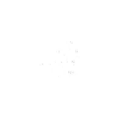 N#Cc1ncnc(-c2cc(C(F)(F)F)ccc2N)c1Cl